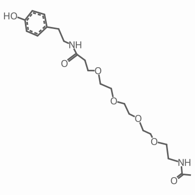 CC(=O)NCCOCCOCCOCCOCCC(=O)NCCc1ccc(O)cc1